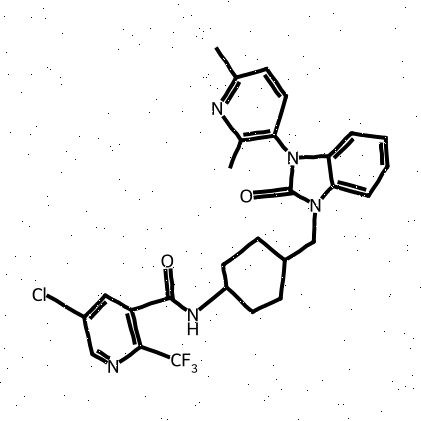 Cc1ccc(-n2c(=O)n(CC3CCC(NC(=O)c4cc(Cl)cnc4C(F)(F)F)CC3)c3ccccc32)c(C)n1